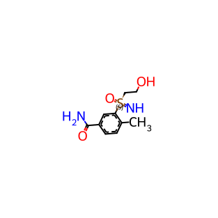 Cc1ccc(C(N)=O)cc1[S@@](=N)(=O)CCO